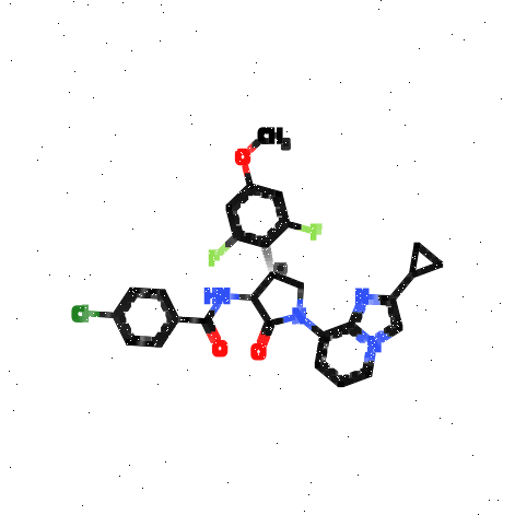 COc1cc(F)c([C@@H]2CN(c3cccn4cc(C5CC5)nc34)C(=O)C2NC(=O)c2ccc(Cl)cc2)c(F)c1